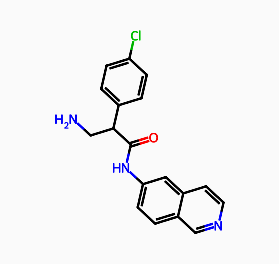 NCC(C(=O)Nc1ccc2cnccc2c1)c1ccc(Cl)cc1